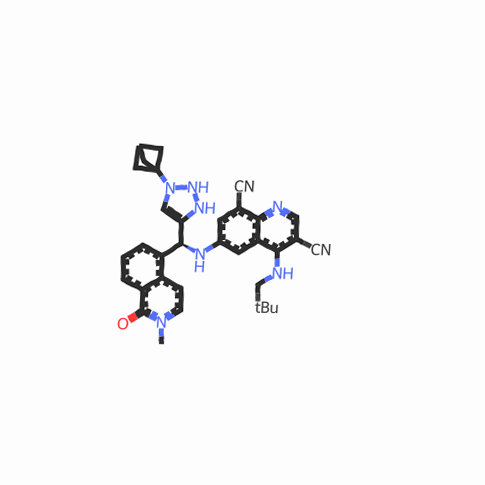 Cn1ccc2c([C@H](Nc3cc(C#N)c4ncc(C#N)c(NCC(C)(C)C)c4c3)C3=CN(C45CC(C4)C5)NN3)cccc2c1=O